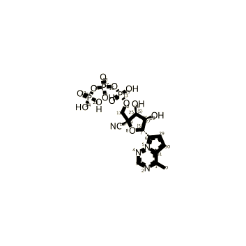 Cc1ncnn2c([C@@H]3O[C@](C#N)(COP(=O)(O)OP(=O)(O)OP(=O)(O)O)[C@@H](O)[C@H]3O)ccc12